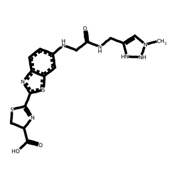 CN1C=C(CNC(=O)CNc2ccc3nc(C4=NC(C(=O)O)CS4)sc3c2)NN1